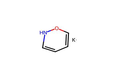 C1=CNOC=C1.[K]